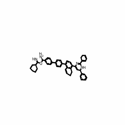 N=C(OC(N)c1ccc(-c2ccc(-c3ccc(C4=CC(c5ccccc5)NC(C5=CC=CCC5)=N4)c4c3C=CCC4)cc2)cc1)C1CCCCC1